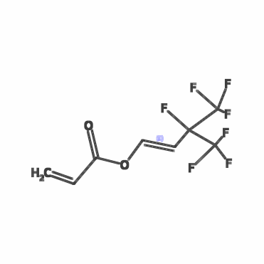 C=CC(=O)O/C=C/C(F)(C(F)(F)F)C(F)(F)F